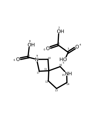 O=C(O)C(=O)O.O=C(O)N1CC2(CCCNC2)C1